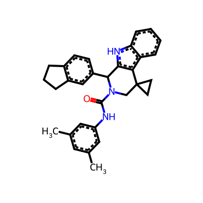 Cc1cc(C)cc(NC(=O)N2CC3(CC3)c3c([nH]c4ccccc34)C2c2ccc3c(c2)CCC3)c1